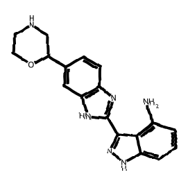 Nc1cccc2[nH]nc(-c3nc4ccc(C5CNCCO5)cc4[nH]3)c12